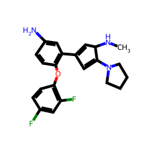 CNC1C=C(c2cc(N)ccc2Oc2ccc(F)cc2F)C=C1N1CCCC1